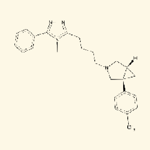 Cn1c(CCCCN2C[C@@H]3C[C@]3(c3ccc(C(F)(F)F)cc3)C2)nnc1-c1ccccc1